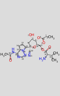 CCC(=O)O[C@H]1[C@@H](O)C[C@](C#N)(c2ccc3c(NC(C)=O)ncnn23)O[C@@H]1COC(=O)C(N)C(C)C